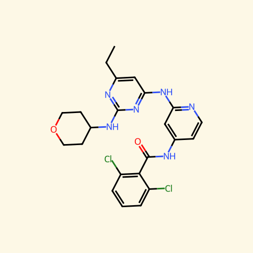 CCc1cc(Nc2cc(NC(=O)c3c(Cl)cccc3Cl)ccn2)nc(NC2CCOCC2)n1